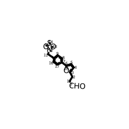 O=CCCc1ccc(-c2ccc(CN3OSO3)cc2)o1